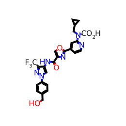 O=C(Nc1cn(-c2ccc(CO)cc2)nc1C(F)(F)F)c1coc(-c2ccnc(N(CC3CC3)C(=O)O)c2)n1